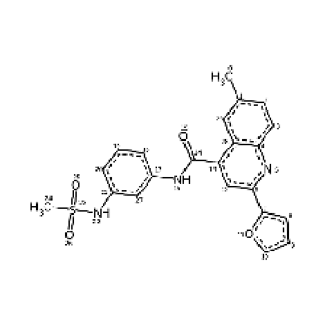 Cc1ccc2nc(-c3ccco3)cc(C(=O)Nc3cccc(NS(C)(=O)=O)c3)c2c1